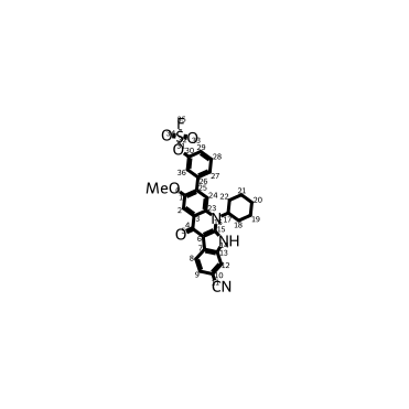 COc1cc2c(=O)c3c4ccc(C#N)cc4[nH]c3n(C3CCCCC3)c2cc1-c1cccc(OS(=O)(=O)F)c1